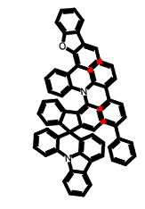 c1ccc(-c2ccc(-c3ccccc3N(c3ccccc3-c3cccc4c3oc3ccccc34)c3cccc4c3-c3ccccc3C43c4ccccc4-n4c5ccccc5c5cccc3c54)cc2)cc1